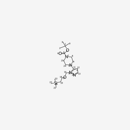 CC(C)(C)OC(=O)N1CCN(c2ccnn2COCC[Si](C)(C)C)CC1